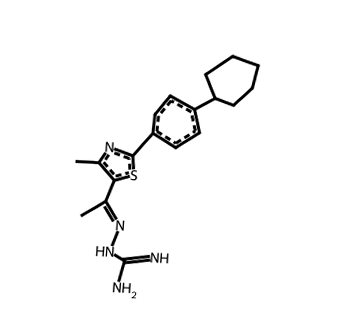 CC(=NNC(=N)N)c1sc(-c2ccc(C3CCCCC3)cc2)nc1C